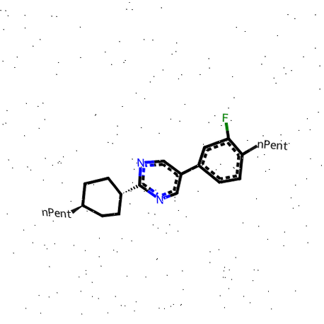 CCCCCc1ccc(-c2cnc([C@H]3CC[C@H](CCCCC)CC3)nc2)cc1F